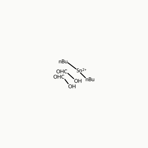 CCC[CH2][Sn+2][CH2]CCC.O=[C-]O.O=[C-]O